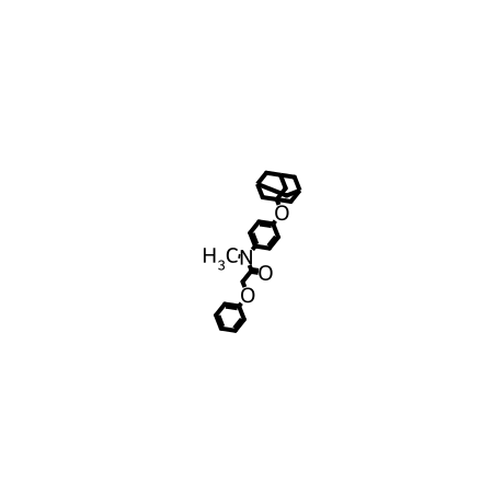 CN(C(=O)COc1ccccc1)c1ccc(OC23CC4CC(CC(C4)C2)C3)cc1